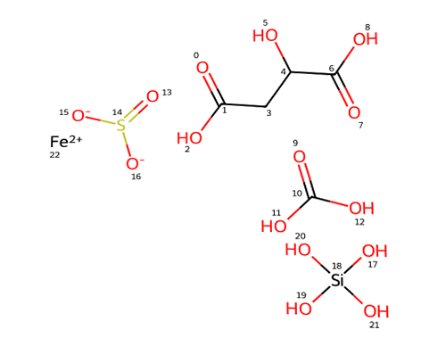 O=C(O)CC(O)C(=O)O.O=C(O)O.O=S([O-])[O-].O[Si](O)(O)O.[Fe+2]